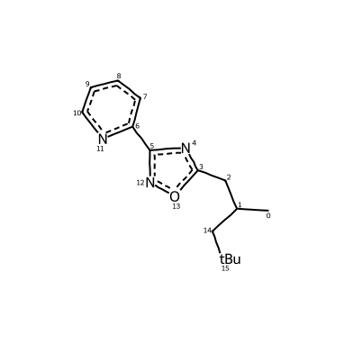 CC(Cc1nc(-c2ccccn2)no1)CC(C)(C)C